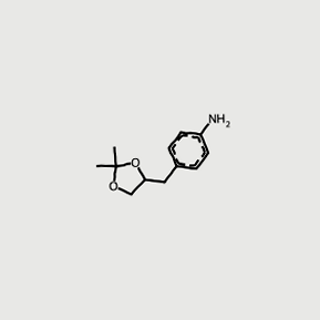 CC1(C)OCC(Cc2ccc(N)cc2)O1